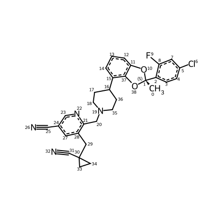 C[C@]1(c2ccc(Cl)cc2F)Oc2cccc(C3CCN(Cc4ncc(C#N)cc4CC4(C#N)CC4)CC3)c2O1